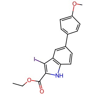 CCOC(=O)c1[nH]c2ccc(-c3ccc(OC)cc3)cc2c1I